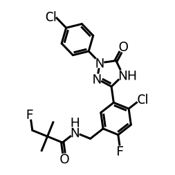 CC(C)(CF)C(=O)NCc1cc(-c2nn(-c3ccc(Cl)cc3)c(=O)[nH]2)c(Cl)cc1F